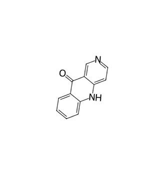 O=c1c2ccccc2[nH]c2ccncc12